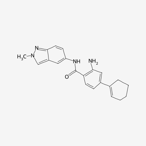 Cn1cc2cc(NC(=O)c3ccc(C4=CCCCC4)cc3N)ccc2n1